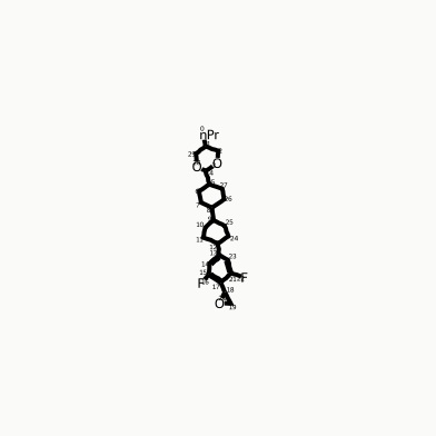 CCCC1COC(C2CCC(C3CCC(c4cc(F)c(C5CO5)c(F)c4)CC3)CC2)OC1